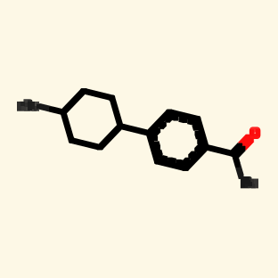 CCCCC1CCC(c2ccc(C(=O)C(C)CC)cc2)CC1